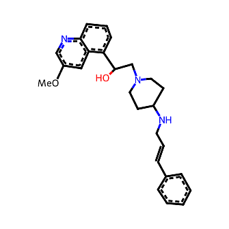 COc1cnc2cccc(C(O)CN3CCC(NC/C=C/c4ccccc4)CC3)c2c1